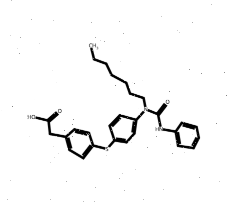 CCCCCCCN(C(=O)Nc1ccccc1)c1ccc(Sc2ccc(CC(=O)O)cc2)cc1